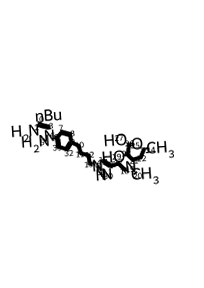 CCCC/C(N)=C/N(N)c1ccc(CCCCn2cc(CCN(C)[C@H]3C[C@@H](C)O[C@@H](O)[C@@H]3O)nn2)cc1